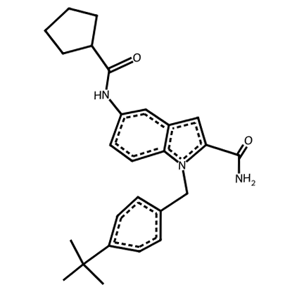 CC(C)(C)c1ccc(Cn2c(C(N)=O)cc3cc(NC(=O)C4CCCC4)ccc32)cc1